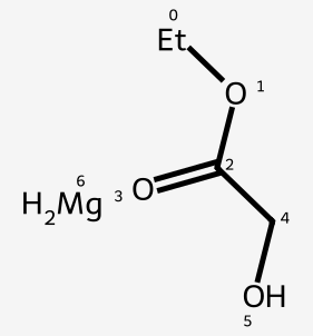 CCOC(=O)CO.[MgH2]